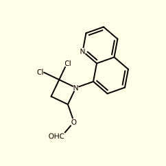 O=COC1CC(Cl)(Cl)N1c1cccc2cccnc12